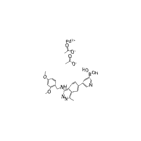 CC(=O)[O-].CC(=O)[O-].COc1ccc(CNc2nnc(C)c3cc(-c4cncc(B(O)O)c4)ccc23)c(OC)c1.[Pd+2]